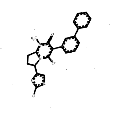 Cn1c2[n+](c([O-])c(-c3cccc(-c4ccccc4)c3)c1=O)C(c1cnc(Cl)s1)CC2